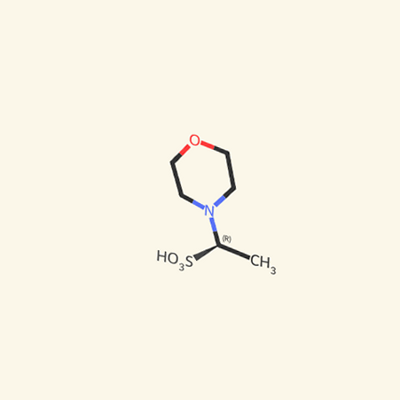 C[C@H](N1CCOCC1)S(=O)(=O)O